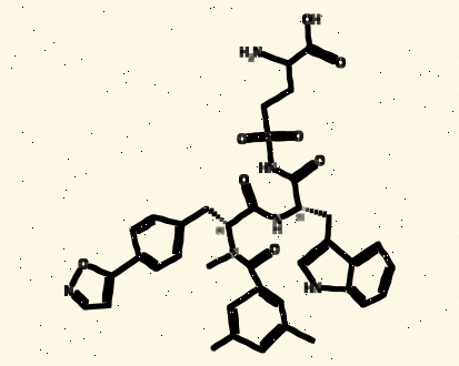 Cc1cc(C)cc(C(=O)N(C)[C@H](Cc2ccc(-c3ccno3)cc2)C(=O)N[C@@H](Cc2c[nH]c3ccccc23)C(=O)NS(=O)(=O)CCC(N)C(=O)O)c1